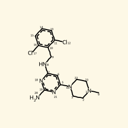 CN1CCN(c2cc(NCc3c(Cl)cccc3Cl)nc(N)n2)CC1